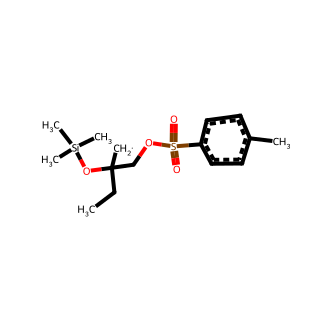 [CH2]C(CC)(COS(=O)(=O)c1ccc(C)cc1)O[Si](C)(C)C